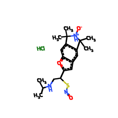 CC(C)NCC(SN=O)c1cc2cc3c(cc2o1)C(C)(C)[NH+]([O-])C3(C)C.Cl